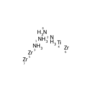 N.N.N.N.[Ti].[Zr].[Zr].[Zr]